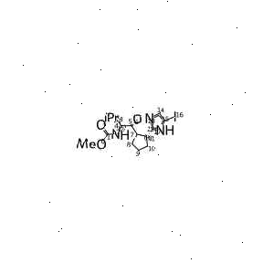 COC(=O)N[C@H](C(=O)C1CCC[C@H]1c1ncc(I)[nH]1)C(C)C